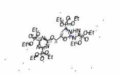 CCOP(=O)(OCC)C(=N)/N=C(\N=C(/C)P(=O)(OCC)OCC)OCCOc1nc(P(=O)(OCC)OCC)nc(P(=O)(OCC)OCC)n1